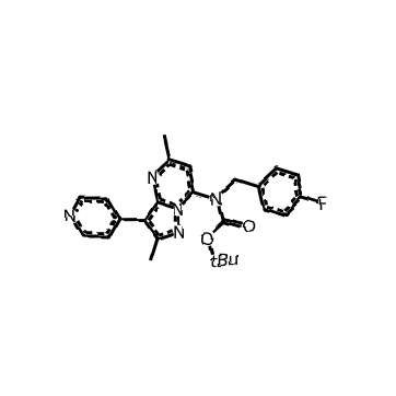 Cc1cc(N(Cc2ccc(F)cc2)C(=O)OC(C)(C)C)n2nc(C)c(-c3ccncc3)c2n1